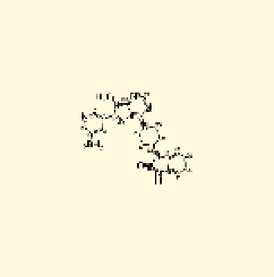 Bc1cncc(-c2nc3c(N4CCC(n5c(=O)[nH]c6ccccc65)CC4)ncnc3n2C)c1